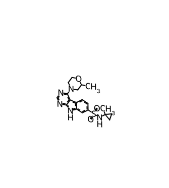 CC1CN(c2ncnc3[nH]c4cc(S(=O)(=O)NC5(C)CC5)ccc4c23)CCO1